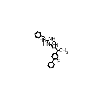 CC(c1ccc(-c2ccccc2)c(F)c1)c1cc(NC(=N)NCc2ccccc2)on1